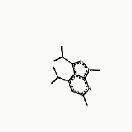 Cc1cc(C(C)C)c2c(C(C)C)nn(C)c2n1